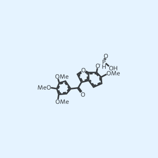 COc1cc(C(=O)c2coc3c(O[PH](=O)O)c(OC)ccc23)cc(OC)c1OC